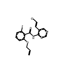 C=CCOc1cccc(F)c1C(=O)Nc1ncncc1C=CCl